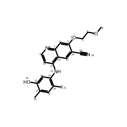 COCCOc1cc2nccc(Nc3cc(O)c(C)cc3F)c2cc1C#N